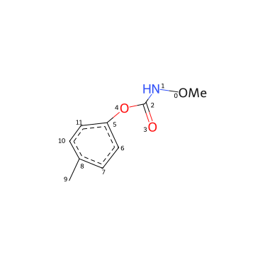 CONC(=O)Oc1ccc(C)cc1